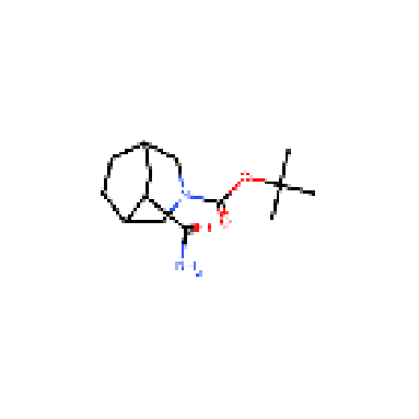 CC(C)(C)OC(=O)N1CC2CCC(C1)C(C(N)=O)C2